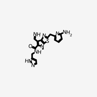 Cn1c(C(=O)NCc2ccn[nH]2)c(C=N)c2nc(Cc3cccc(N)n3)sc21